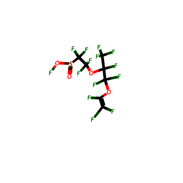 O=S(OF)C(F)(F)C(F)(F)OC(F)(C(F)(F)F)C(F)(F)OC(F)=C(F)F